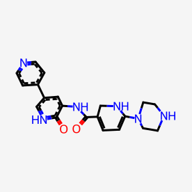 O=C(Nc1cc(-c2ccncc2)c[nH]c1=O)C1=CC=C(N2CCNCC2)NC1